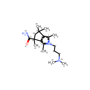 Cc1c2c(c(C)n1CCCN(C)C)C(C)(C(N)=O)CC2(C)C